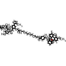 COc1ccc(C(N)=O)c(-c2c(Cl)c(F)cc3c2[C@H](C)[C@@](CNC2CCC(C(=O)NCCOCCOCCOCCNC(=O)COc4cc(-c5scnc5C)ccc4CNC(=O)[C@@H]4C[C@@H](O)CN4C(=O)[C@@H](NC(=O)C4(F)CC4)C(C)(C)C)CC2)(c2ccccc2)O3)c1F